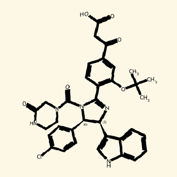 CC(C)(C)Oc1cc(C(=O)CC(=O)O)ccc1C1=N[C@@H](c2c[nH]c3ccccc23)[C@@H](c2ccc(Cl)cc2)N1C(=O)N1CCNC(=O)C1